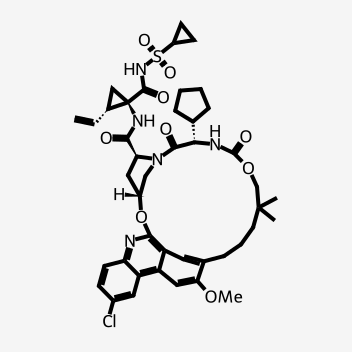 C=C[C@@H]1C[C@]1(NC(=O)[C@@H]1C[C@@H]2CN1C(=O)[C@H](C1CCCC1)NC(=O)OCC(C)(C)CCCc1cc3c(nc4ccc(Cl)cc4c3cc1OC)O2)C(=O)NS(=O)(=O)C1CC1